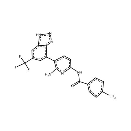 Cc1ccc(C(=O)Nc2ccc(-c3cc(C(F)(F)F)cc4[nH]nnc34)c(N)n2)cc1